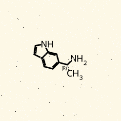 C[C@@H](N)c1ccc2cc[nH]c2c1